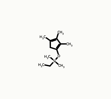 CC[Si](C)(C)OC1=C(C)C(C)=C(C)C1